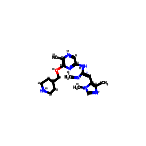 C=N/C(=C\c1c(C)ncn1C)Nc1cnc(C#N)c(OCC2CCNCC2)n1